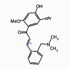 CCCc1cc(C(=O)/C=C/c2ccccc2CN(C)C)c(OC)cc1O